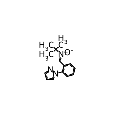 CC(C)(C)[N+]([O-])=Cc1ccccc1-n1cccn1